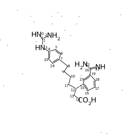 N=C(N)Nc1ccc(CCCCC(CC(=O)O)c2cccc(C(=N)N)c2)cc1